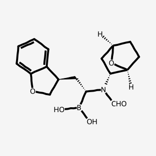 O=CN([C@@H]1C[C@H]2CC[C@@H]1O2)[C@@H](C[C@H]1COc2ccccc21)B(O)O